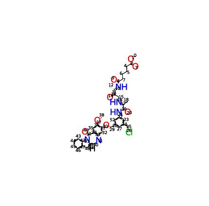 COC(=O)CCCCC(=O)N[C@@H](C)C(=O)CN[C@@H](C)C(=O)Nc1cc(CCl)cc(COc2cc3c(cc2OC)C(=O)N2c4ccccc4C[C@H]2C=N3)c1